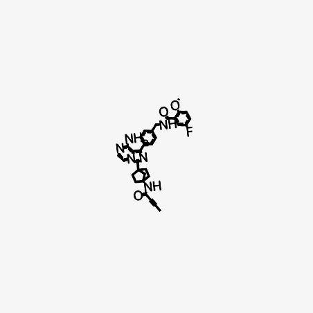 CC#CC(=O)NC12CCC(c3nc(-c4ccc(CNC(=O)c5cc(F)ccc5OC)cc4)c4c(N)nccn34)(CC1)C2